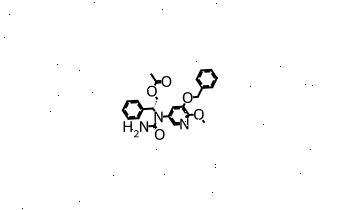 COc1ncc(N(C(N)=O)[C@@H](COC(C)=O)c2ccccc2)cc1OCc1ccccc1